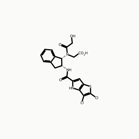 O=C(O)CN(C(=O)CO)[C@H]1c2ccccc2C[C@H]1NC(=O)c1cc2sc(Cl)c(Cl)c2[nH]1